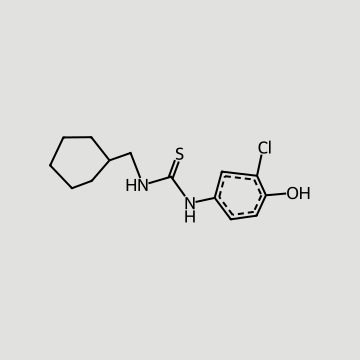 Oc1ccc(NC(=S)NCC2CCCCC2)cc1Cl